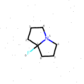 FC12CCCN1CCC2